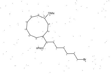 CCCCCC(CCCCCCBr)C1CCCCCCC(OC)CC1